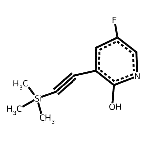 C[Si](C)(C)C#Cc1cc(F)cnc1O